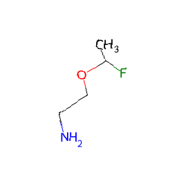 CC(F)OCCN